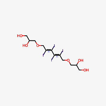 OCC(O)COC/C(I)=C(I)/C(I)=C(\I)COCC(O)CO